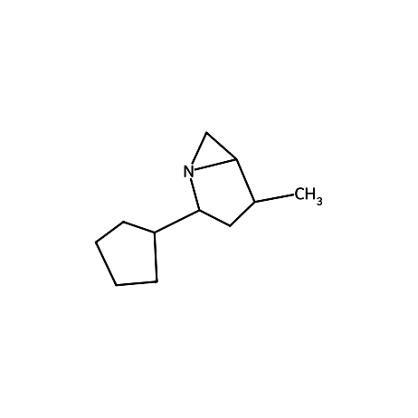 CC1CC(C2CCCC2)N2CC12